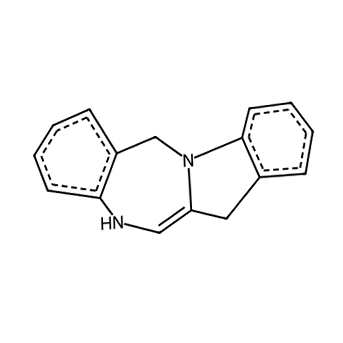 C1=C2Cc3ccccc3N2Cc2ccccc2N1